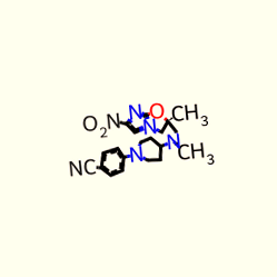 CN(C[C@@]1(C)Cn2cc([N+](=O)[O-])nc2O1)C1CCN(c2ccc(C#N)cc2)CC1